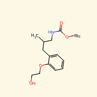 CC(CNC(=O)OC(C)(C)C)Cc1ccccc1OCCO